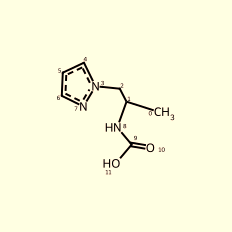 CC(Cn1cccn1)NC(=O)O